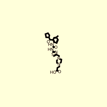 Cc1ccc(NC(=O)Nc2nc(CN3CCN(CCC(=O)O)CC3)cs2)c(C(=O)C2CCCC2)c1